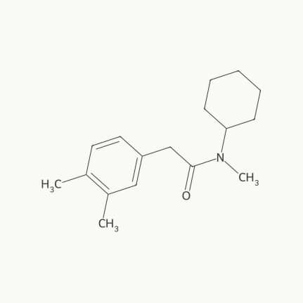 Cc1ccc(CC(=O)N(C)C2CCCCC2)cc1C